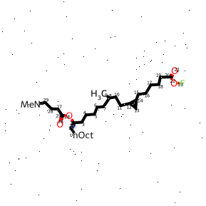 CCCCCCCC/C=C(\CCCCCC(C)CCC1=CC1CCCCCC(=O)OF)OC(=O)CCCNC